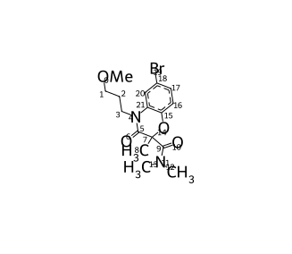 COCCCN1C(=O)C(C)(C(=O)N(C)C)Oc2ccc(Br)cc21